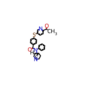 CC(=O)c1ccc(Sc2ccc(C(=O)N(c3ccccc3)[C@H]3CN4CCC3CC4)cc2)cn1